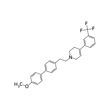 COc1ccc(-c2ccc(CCN3CC=C(c4cccc(C(F)(F)F)c4)CC3)cc2)cc1